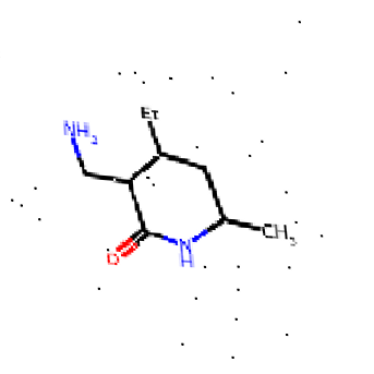 CCC1CC(C)NC(=O)C1CN